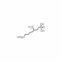 CCCCCCCCCCCC(N)CCP(=O)(O)O